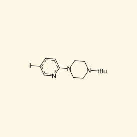 CC(C)(C)N1CCN(c2ccc(I)cn2)CC1